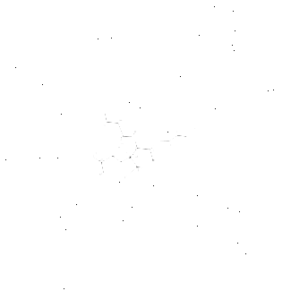 CCCCOC1COC(C)[C@](O)(CCC(C)C)C1OCCCC